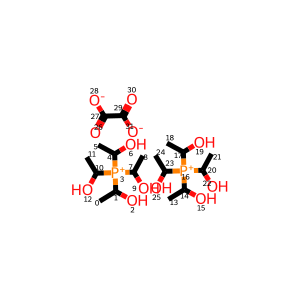 CC(O)[P+](C(C)O)(C(C)O)C(C)O.CC(O)[P+](C(C)O)(C(C)O)C(C)O.O=C([O-])C(=O)[O-]